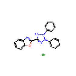 Br.c1ccc(N2N=C(c3nc4ccccc4o3)NN2c2ccccc2)cc1